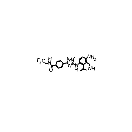 C=C(C)c1c(Nc2nc(-c3ccc(C(=O)NCC(F)(F)F)cc3)nn2C)ccc(N)c1C=N